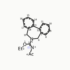 CCO/C(=N\C(C)=O)N1Cc2ccccc2-c2ccccc2C1